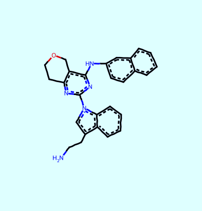 NCCc1cn(-c2nc3c(c(Nc4ccc5ccccc5c4)n2)COCC3)c2ccccc12